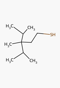 CC(C)C(C)(CCS)C(C)C